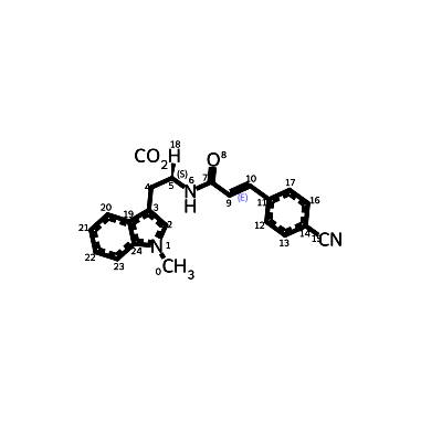 Cn1cc(C[C@H](NC(=O)/C=C/c2ccc(C#N)cc2)C(=O)O)c2ccccc21